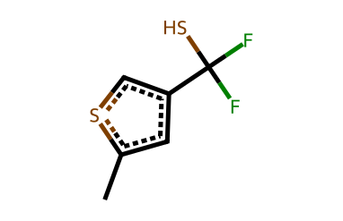 Cc1cc(C(F)(F)S)cs1